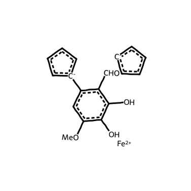 COc1cc(-[c-]2cccc2)c(C=O)c(O)c1O.[Fe+2].c1cc[cH-]c1